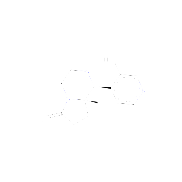 C=C1CC[C@H]2[C@H](c3ccncc3C)NCCN12